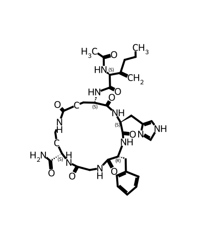 C=C(CCC)[C@H](NC(C)=O)C(=O)N[C@H]1CCC(=O)NCC[C@@H](C(N)=O)NC(=O)CNC(=O)[C@@H](Cc2ccccc2)NC(=O)[C@H](Cc2c[nH]cn2)NC1=O